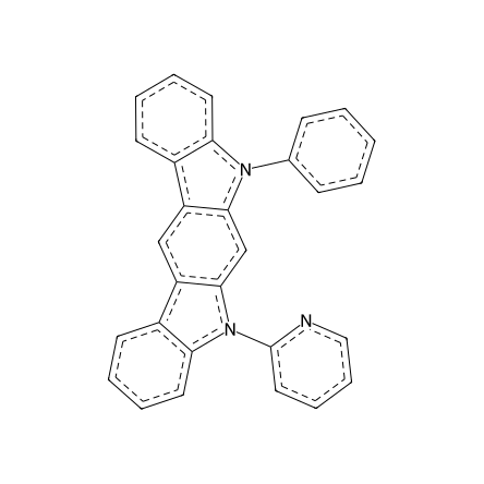 c1ccc(-n2c3ccccc3c3cc4c5ccccc5n(-c5ccccn5)c4cc32)cc1